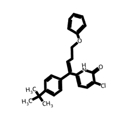 CC(C)(C)c1ccc(/C(=C/CCOc2ccccc2)c2ccc(Cl)c(=O)[nH]2)cc1